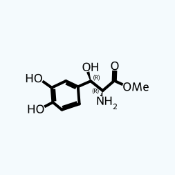 COC(=O)[C@H](N)[C@H](O)c1ccc(O)c(O)c1